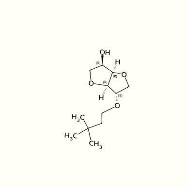 CC(C)(C)CCO[C@H]1CO[C@H]2[C@@H]1OC[C@H]2O